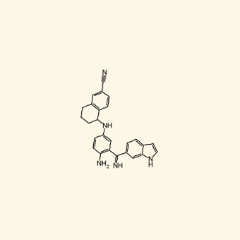 N#Cc1ccc2c(c1)CCCC2Nc1ccc(N)c(C(=N)c2ccc3cc[nH]c3c2)c1